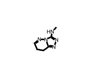 CNc1nnc2n1N=[C]CC2